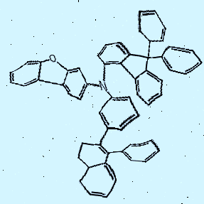 C1=CCC2CCC(c3cccc(N(c4ccc5c(c4)oc4ccccc45)c4cccc5c4-c4ccccc4C5(c4ccccc4)C4C=CC=CC4)c3)=C(c3ccccc3)C2=C1